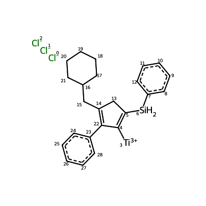 [Cl-].[Cl-].[Cl-].[Ti+3][C]1=C([SiH2]c2ccccc2)CC(CC2CCCCC2)=C1c1ccccc1